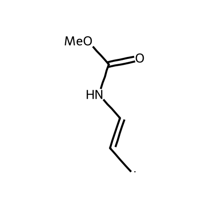 [CH2]C=CNC(=O)OC